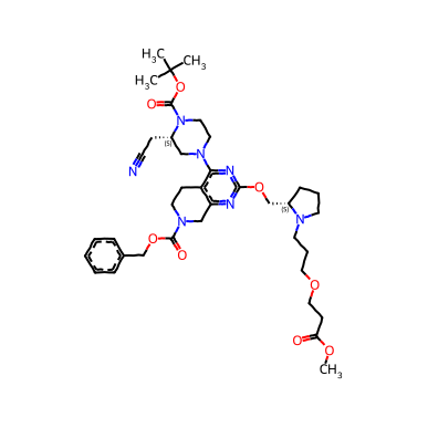 COC(=O)CCOCCCN1CCC[C@H]1COc1nc2c(c(N3CCN(C(=O)OC(C)(C)C)[C@@H](CC#N)C3)n1)CCN(C(=O)OCc1ccccc1)C2